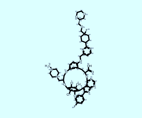 Cc1c(Cl)c2c(Cl)c(C)c1-c1c(-c3ccc(F)cc3)sc3ncnc(c13)OC(C(=O)O)Cc1cc(ccc1OCc1ccnc(C3CCC(F)(COC[C@@H]4COCCO4)CC3)n1)OCC(CN1CCN(C)CC1)O2